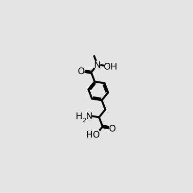 CN(O)C(=O)c1ccc(CC(N)C(=O)O)cc1